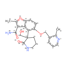 Cc1ncccc1COc1ccc2oc(C)c(C(N)=O)c2c1C1(CO)CCCNC1=O